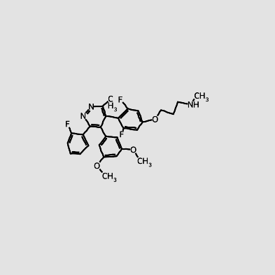 CNCCCOc1cc(F)c(-c2c(C)nnc(-c3ccccc3F)c2-c2cc(OC)cc(OC)c2)c(F)c1